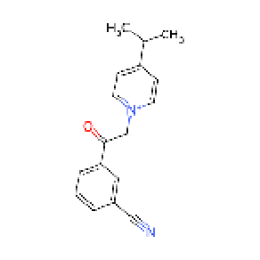 CC(C)c1cc[n+](CC(=O)c2cccc(C#N)c2)cc1